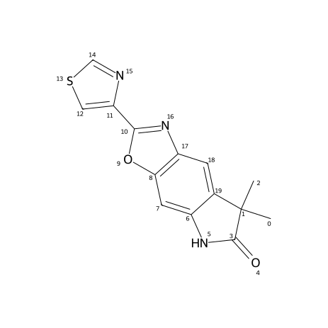 CC1(C)C(=O)Nc2cc3oc(-c4cscn4)nc3cc21